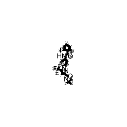 CC1(C)COC(c2cc(C(F)(F)F)n(-c3ccc(NC(=O)c4c(F)cccc4F)cn3)n2)=N1